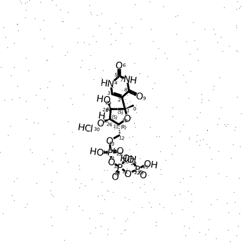 C[C@@]1(c2c[nH]c(=O)[nH]c2=O)O[C@H](COP(=O)(O)OP(=O)(O)OP(=O)(O)O)[C@@H](O)[C@H]1O.Cl